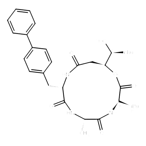 CCCC[C@H](C)[C@@H]1CC(=O)N[C@@H](Cc2ccc(-c3ccccc3)cc2)C(=O)N[C@@H](C)C(=O)N[C@H]([C@H](C)CC)C(=O)O1